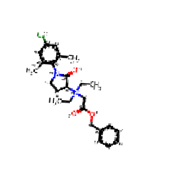 CC[N+](CC)(CC(=O)OCc1ccccc1)C1CCN(c2c(C)cc(Cl)cc2C)C1=O